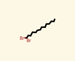 CCCCCCCCCCCCCC(Br)Br